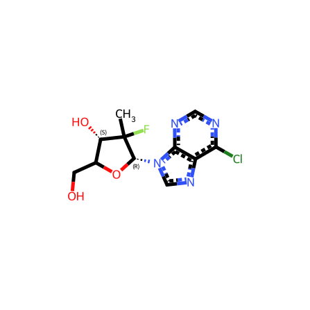 CC1(F)[C@@H](O)C(CO)O[C@H]1n1cnc2c(Cl)ncnc21